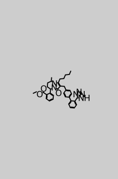 CCCCCc1c(Cc2ccc(-c3ccccc3-c3nnn[nH]3)cc2)c(=O)n2n1C(C)CCC2c1ccccc1C(=O)OCC